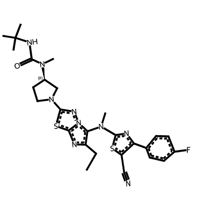 CCc1nc2sc(N3CC[C@@H](N(C)C(=O)NC(C)(C)C)C3)nn2c1N(C)c1nc(-c2ccc(F)cc2)c(C#N)s1